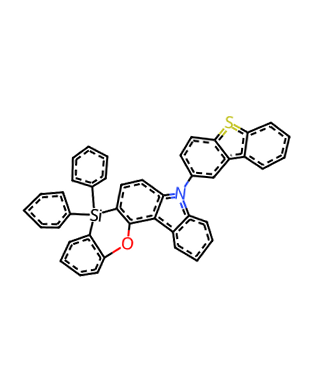 c1ccc([Si]2(c3ccccc3)c3ccccc3Oc3c2ccc2c3c3ccccc3n2-c2ccc3sc4ccccc4c3c2)cc1